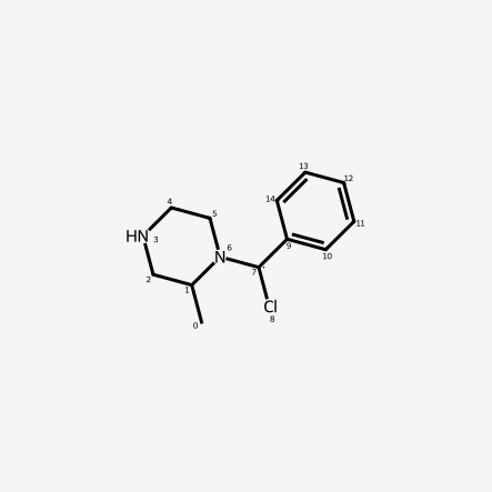 CC1CNCCN1[C](Cl)c1ccccc1